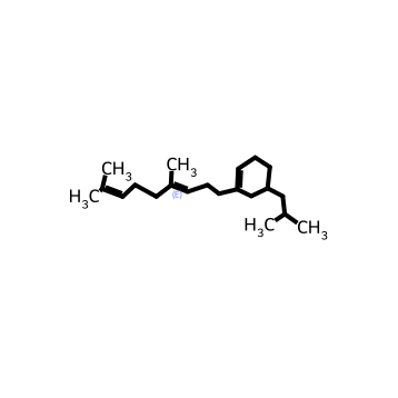 CC(C)=CCC/C(C)=C/CCC1=CCCC(CC(C)C)C1